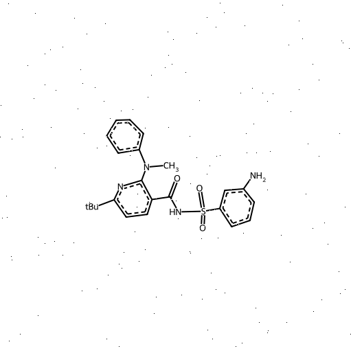 CN(c1ccccc1)c1nc(C(C)(C)C)ccc1C(=O)NS(=O)(=O)c1cccc(N)c1